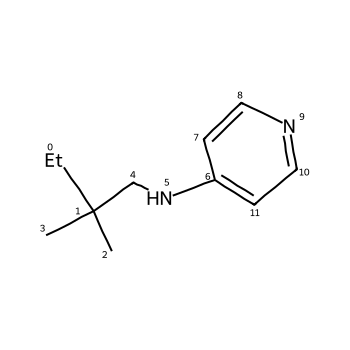 CCC(C)(C)CNc1ccncc1